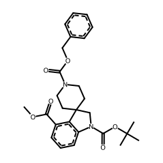 COC(=O)c1cccc2c1C1(CCN(C(=O)OCc3ccccc3)CC1)CN2C(=O)OC(C)(C)C